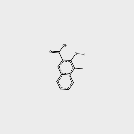 O=C(O)c1cc2ccccc2c(I)c1OI